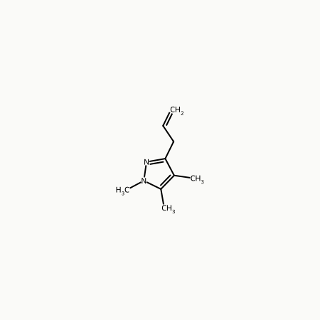 C=CCc1nn(C)c(C)c1C